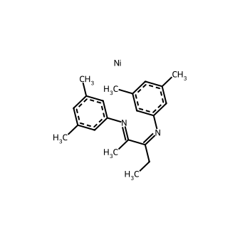 CCC(=Nc1cc(C)cc(C)c1)C(C)=Nc1cc(C)cc(C)c1.[Ni]